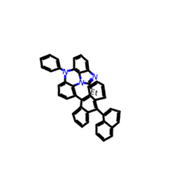 CCc1nc2cccc3c2n1-c1c(-c2c4ccccc4c(-c4cccc5ccccc45)c4ccccc24)cccc1N3c1ccccc1